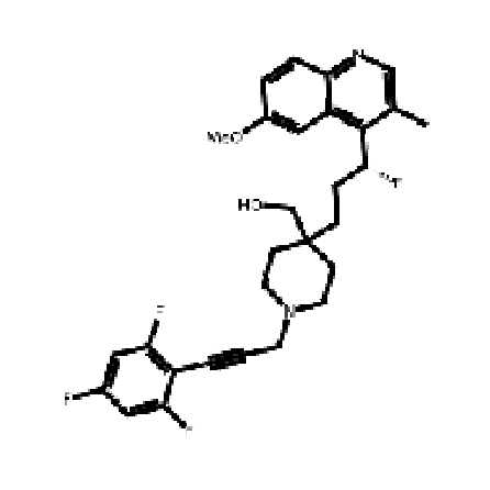 COc1ccc2ncc(C)c([C@H](F)CCC3(CO)CCN(CC#Cc4c(F)cc(F)cc4F)CC3)c2c1